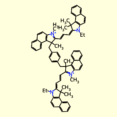 CCN1C(=CC=CC2=[N+](C)c3ccc4ccccc4c3C2(C)Cc2ccc(CC3(C)C(C=CC=C4N(CC)c5ccc6ccccc6c5C4(C)C)=[N+](C)c4ccc5ccccc5c43)cc2)C(C)(C)c2c1ccc1ccccc21